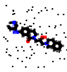 C/C=C(\C=N/C)Nc1ccc2c(c1)C(=O)N(CC(O)CN1CCc3ccccc3C1)CC2